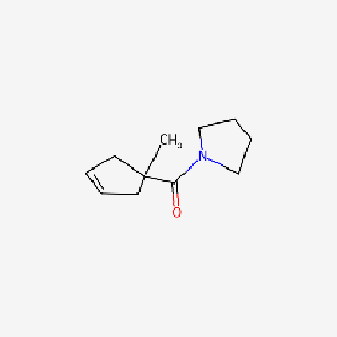 CC1(C(=O)N2CCCC2)CC=CC1